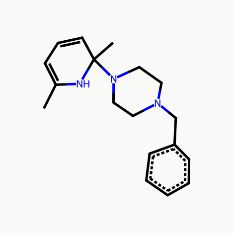 CC1=CC=CC(C)(N2CCN(Cc3ccccc3)CC2)N1